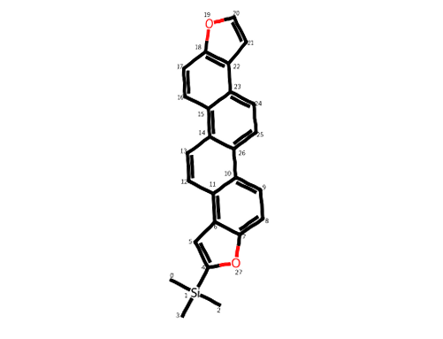 C[Si](C)(C)c1cc2c(ccc3c2ccc2c4ccc5occc5c4ccc32)o1